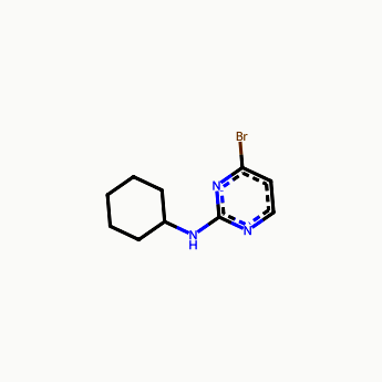 Brc1ccnc(NC2CCCCC2)n1